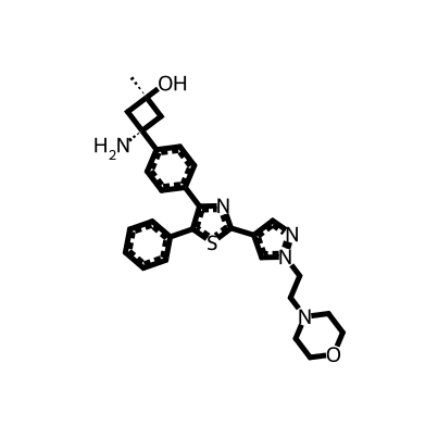 C[C@]1(O)C[C@@](N)(c2ccc(-c3nc(-c4cnn(CCN5CCOCC5)c4)sc3-c3ccccc3)cc2)C1